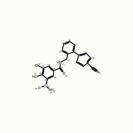 N#Cc1ccc(-c2ccccc2CNC(=O)c2cc(Cl)c(O)c([S+](N)[O-])c2)cc1